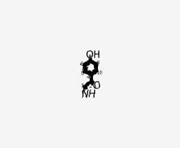 N=CC(=O)c1ccc(O)cc1